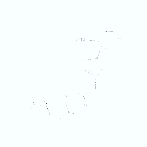 Nc1ncccc1-c1cc(Cc2ccc(Cn3cncn3)cc2)no1